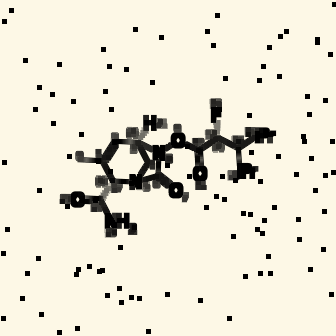 CC1=C[C@@H]2CN(C(=O)N2OC(=O)[C@H](F)C(C(C)C)C(C)C)[C@@H]1C(N)=O